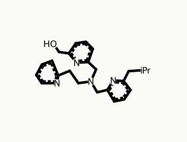 CC(C)Cc1cccc(CN(CCc2ccccn2)Cc2cccc(CO)n2)n1